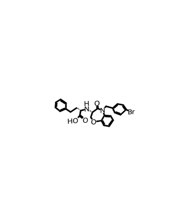 O=C(O)[C@H](CCc1ccccc1)N[C@H]1COc2ccccc2N(Cc2ccc(Br)cc2)C1=O